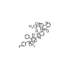 CN(Cc1ccc(F)cc1)C(=O)[C@@H](NC(=O)c1nc2ccc(NC(=O)c3cccnc3-c3ccc(C(C)(C)C)cc3)cc2s1)c1ccccc1